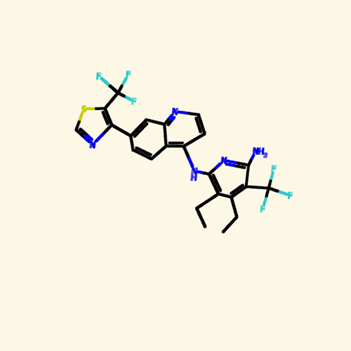 CCc1c(Nc2ccnc3cc(-c4ncsc4C(F)(F)F)ccc23)nc(N)c(C(F)(F)F)c1CC